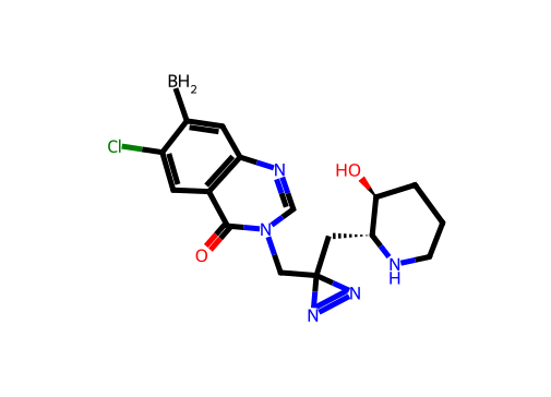 Bc1cc2ncn(CC3(C[C@H]4NCCC[C@@H]4O)N=N3)c(=O)c2cc1Cl